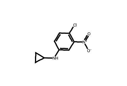 O=[N+]([O-])c1cc(NC2CC2)ccc1Cl